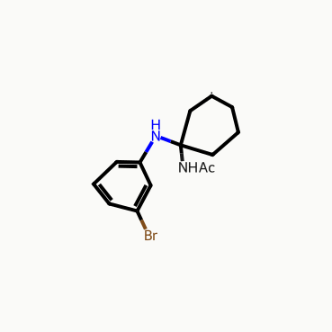 CC(=O)NC1(Nc2cccc(Br)c2)C[CH]CCC1